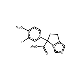 COC(=O)C1(c2ccc(OC)c(F)c2)CCc2cncn21